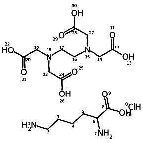 Cl.NCCCCC(N)C(=O)O.O=C(O)CN(CCN(CC(=O)O)CC(=O)O)CC(=O)O